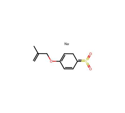 C=C(C)COC1=CCC(=S(=O)=O)C=C1.[Na]